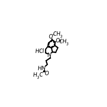 COc1cc2c3c(c1OC)CCC3N(CCCNC(C)=O)CC2.Cl